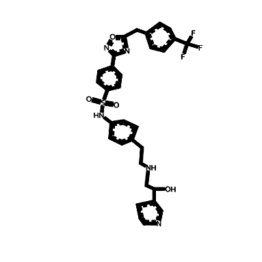 O=S(=O)(Nc1ccc(CCNCC(O)c2cccnc2)cc1)c1ccc(-c2noc(Cc3ccc(C(F)(F)F)cc3)n2)cc1